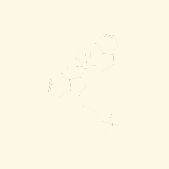 C[CH]=[Zr]([Cl])([Cl])([CH]1C=Cc2ccccc21)[CH]1C=C(OCO[Si](C)(C)C)c2ccccc21